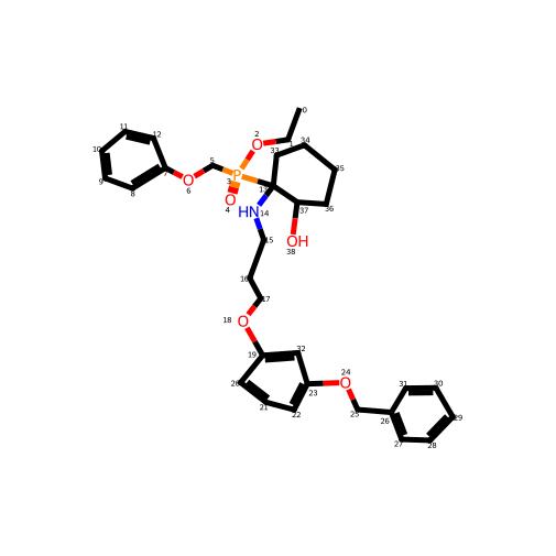 CCOP(=O)(COc1ccccc1)C1(NCCCOc2cccc(OCc3ccccc3)c2)CCCCC1O